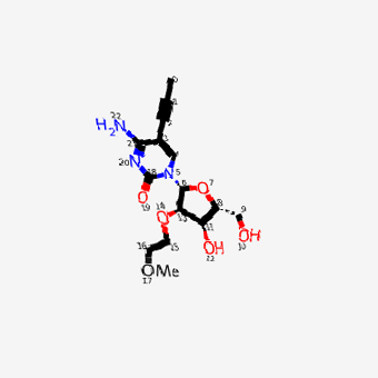 CC#Cc1cn([C@@H]2O[C@H](CO)[C@@H](O)[C@H]2OCCOC)c(=O)nc1N